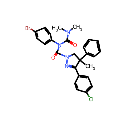 CN(C)C(=O)N(C(=O)N1CC(C)(c2ccccc2)C(c2ccc(Cl)cc2)=N1)c1ccc(Br)cc1